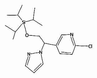 CC(C)[Si](OCC(c1ccc(Cl)nc1)n1cccn1)(C(C)C)C(C)C